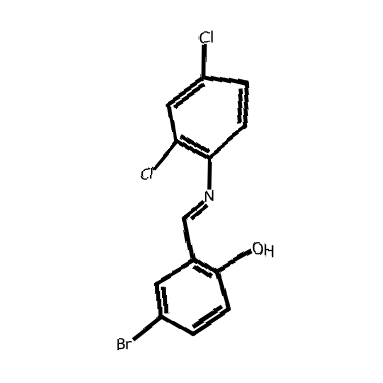 Oc1ccc(Br)cc1C=Nc1ccc(Cl)cc1Cl